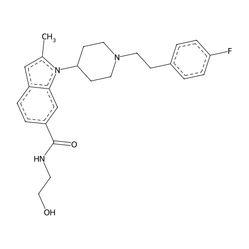 Cc1cc2ccc(C(=O)NCCO)cc2n1C1CCN(CCc2ccc(F)cc2)CC1